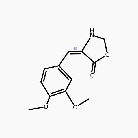 COc1ccc(/C=C2/NCOC2=O)cc1OC